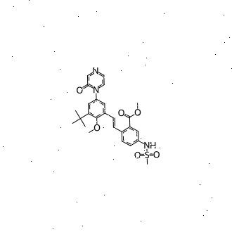 COC(=O)c1cc(NS(C)(=O)=O)ccc1C=Cc1cc(-n2ccncc2=O)cc(C(C)(C)C)c1OC